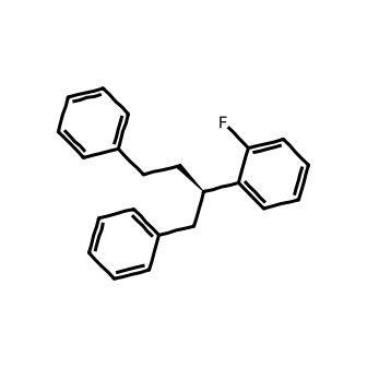 Fc1ccccc1[C@H](CCc1ccccc1)Cc1ccccc1